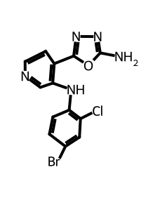 Nc1nnc(-c2ccncc2Nc2ccc(Br)cc2Cl)o1